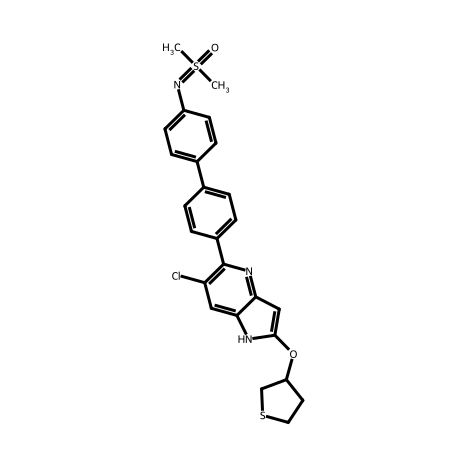 CS(C)(=O)=Nc1ccc(-c2ccc(-c3nc4cc(OC5CCSC5)[nH]c4cc3Cl)cc2)cc1